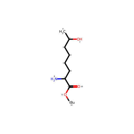 CC(O)CCCCC(N)C(=O)OC(C)(C)C